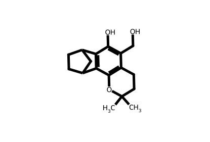 CC1(C)CCc2c(CO)c(O)c3c(c2O1)C1CCC3C1